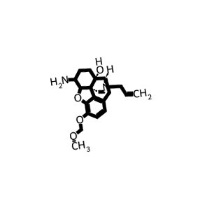 C=CCN1CC[C@]23c4c5ccc(OCOC)c4OC2C(N)CC[C@@]3(O)[C@H]1C5